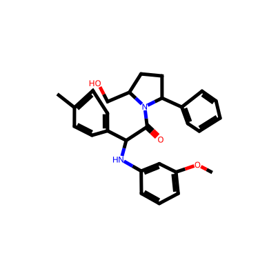 COc1cccc(NC(C(=O)N2C(CO)CCC2c2ccccc2)c2ccc(C)cc2)c1